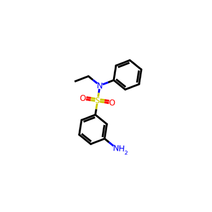 CCN(c1ccccc1)S(=O)(=O)c1cccc(N)c1